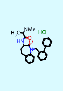 CNC(C)C(=O)N[C@H]1CCc2ccccc2N(Cc2ccccc2-c2ccccc2)C1=O.Cl